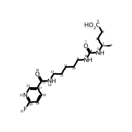 C[C@H](CCC(=O)O)NC(=O)NCCCCCNC(=O)c1ccc(F)nc1